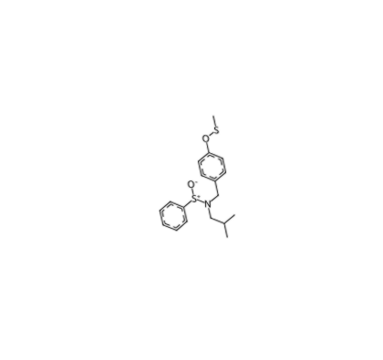 CSOc1ccc(CN(CC(C)C)[S+]([O-])c2ccccc2)cc1